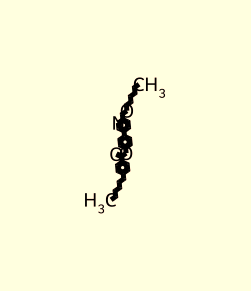 CCCCCCOCc1ccc(-c2ccc(OC(=O)c3ccc(CCCCCC)cc3)cc2)cn1